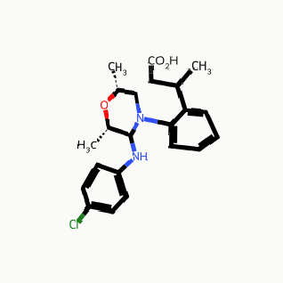 CC(CC(=O)O)c1ccccc1N1C[C@@H](C)O[C@@H](C)C1Nc1ccc(Cl)cc1